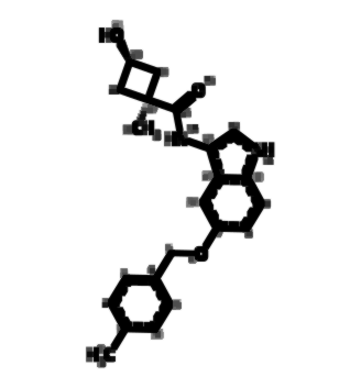 Cc1ccc(COc2ccc3[nH]cc(NC(=O)[C@]4(C)C[C@H](O)C4)c3c2)cc1